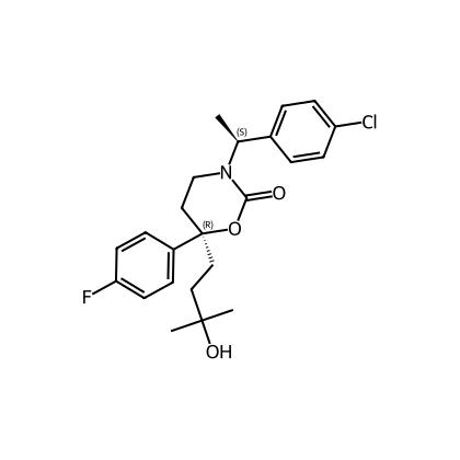 C[C@@H](c1ccc(Cl)cc1)N1CC[C@](CCC(C)(C)O)(c2ccc(F)cc2)OC1=O